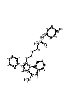 Nc1nc2ccccc2c2c1nc(-c1ccccc1)n2CCCCNC(=O)Nc1ccc(F)cc1